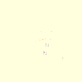 O=S(=O)(c1ccccc1)n1c(/C=C/c2ccccc2)nc2cc(F)ccc21